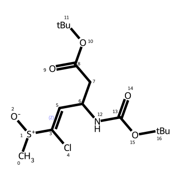 C[S+]([O-])/C(Cl)=C/C(CC(=O)OC(C)(C)C)NC(=O)OC(C)(C)C